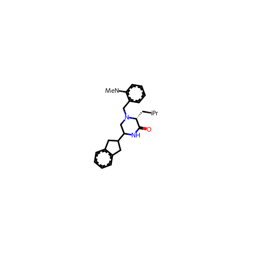 CNc1ccccc1CN1CC(C2Cc3ccccc3C2)NC(=O)[C@H]1CC(C)C